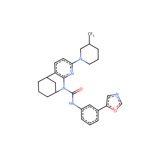 O=C(Nc1cccc(-c2cnco2)c1)N1c2nc(N3CCCC(C(F)(F)F)C3)ccc2C2CCCC1C2